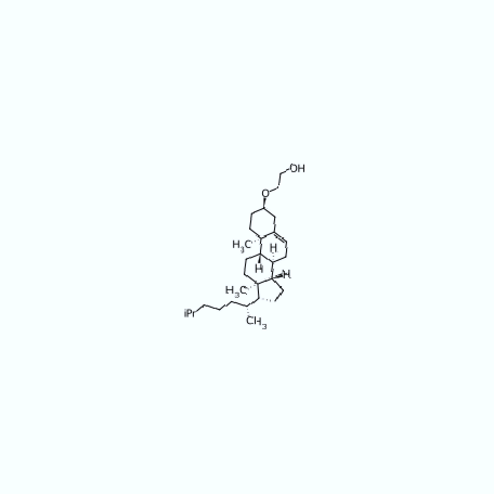 CC(C)CCC[C@@H](C)[C@H]1CC[C@H]2[C@@H]3CC=C4C[C@H](OCCO)CC[C@]4(C)[C@H]3CC[C@]12C